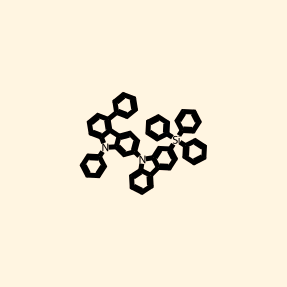 c1ccc(-c2cccc3c2c2ccc(-n4c5ccccc5c5ccc([Si](c6ccccc6)(c6ccccc6)c6ccccc6)cc54)cc2n3-c2ccccc2)cc1